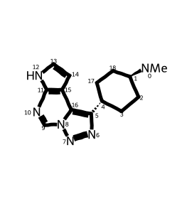 CN[C@H]1CC[C@H](c2nnn3cnc4[nH]ccc4c23)CC1